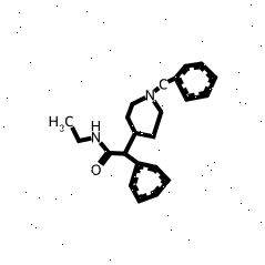 CCNC(=O)C(c1ccccc1)C1CCN(Cc2ccccc2)CC1